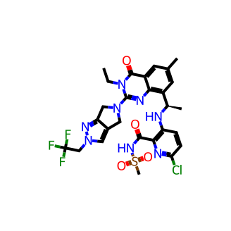 CCn1c(N2Cc3cn(CC(F)(F)F)nc3C2)nc2c([C@@H](C)Nc3ccc(Cl)nc3C(=O)NS(C)(=O)=O)cc(C)cc2c1=O